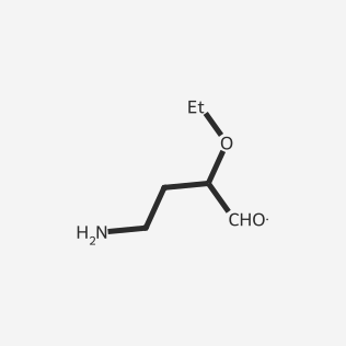 CCOC([C]=O)CCN